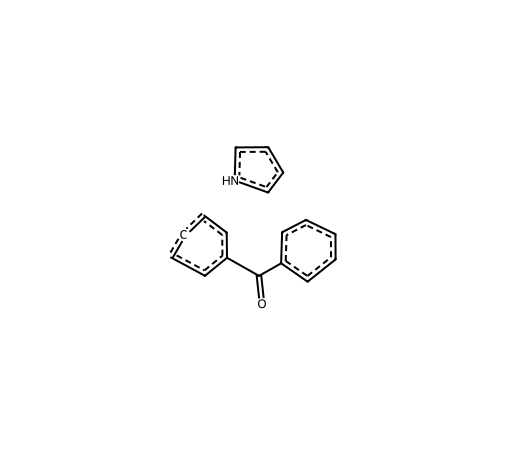 O=C(c1ccccc1)c1ccccc1.c1cc[nH]c1